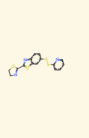 c1ccc(SSc2ccc3nc(C4=NCCS4)sc3c2)nc1